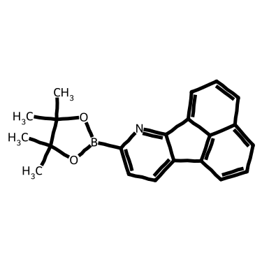 CC1(C)OB(c2ccc3c(n2)-c2cccc4cccc-3c24)OC1(C)C